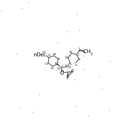 C=C[C@H]1CC[C@H]([C@H]2[C@H](C3CCC(CCCCCCCCCC)CC3)OC2(F)F)CC1